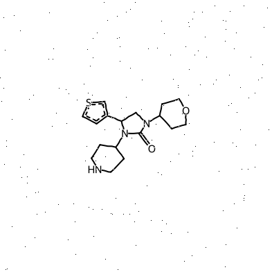 O=C1N(C2CCOCC2)CC(c2ccsc2)N1C1CCNCC1